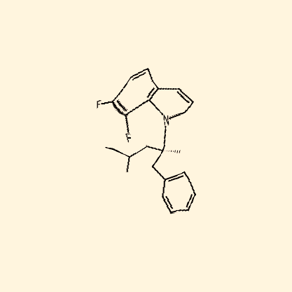 CC(C)C[C@](C)(Cc1ccccc1)N1CC=Cc2ccc(F)c(F)c21